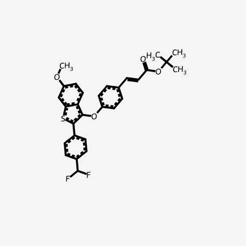 COc1ccc2c(Oc3ccc(C=CC(=O)OC(C)(C)C)cc3)c(-c3ccc(C(F)F)cc3)sc2c1